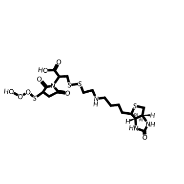 O=C1N[C@H]2CSC(CCCCNCCSSCC(C(=O)O)N3C(=O)CC(SOOO)C3=O)[C@H]2N1